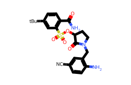 CC(C)(C)c1ccc(C(N)=O)c(S(=O)(=O)OC2CCN(Cc3cc(C#N)ccc3N)C2=O)c1